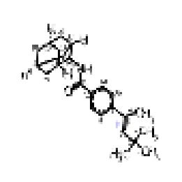 C/C(=C\C(C)(C)C)c1ccc(C(=O)NC2[C@H]3C[C@H]4C[C@H](C3)C[C@@H]2C4)cc1